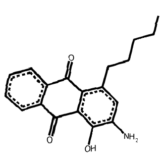 CCCCCc1cc(N)c(O)c2c1C(=O)c1ccccc1C2=O